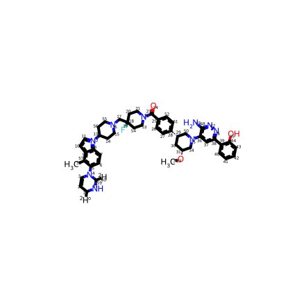 [2H]C1C=CN(c2ccc3c(ccn3C3CCN(CC4(F)CCN(C(=O)c5ccc([C@H]6C[C@@H](OC)CN(c7cc(-c8ccccc8O)nnc7N)C6)cc5)CC4)CC3)c2C)C([2H])N1